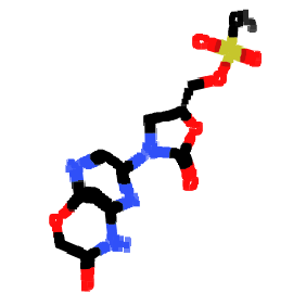 CS(=O)(=O)OC[C@H]1CN(c2cnc3c(n2)NC(=O)CO3)C(=O)O1